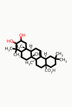 CC1(C)CC[C@]2(C(=O)O)CC[C@]3(C)C(=CC[C@@H]4[C@@]5(C)CC(O)C(O)C(C)(C)C5CC[C@]43C)[C@H]2C1